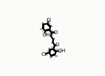 O=C(CCCC(=O)c1cc(Cl)ccc1O)c1cc(Cl)ccc1O